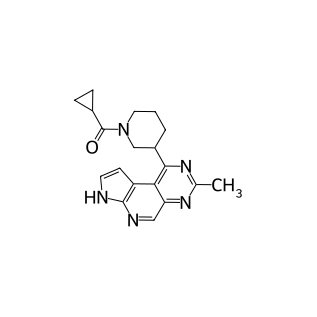 Cc1nc(C2CCCN(C(=O)C3CC3)C2)c2c(cnc3[nH]ccc32)n1